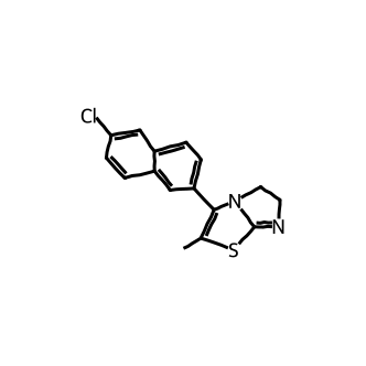 CC1=C(c2ccc3cc(Cl)ccc3c2)N2CCN=C2S1